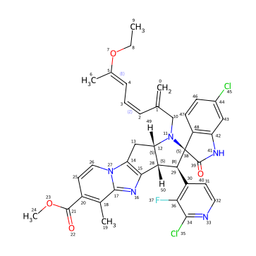 C=C(/C=C\C=C(/C)OCC)CN1[C@H]2Cc3c(nc4c(C)c(C(=O)OC)ccn34)[C@H]2[C@H](c2ccnc(Cl)c2F)[C@]12C(=O)Nc1cc(Cl)ccc12